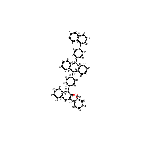 c1ccc2c(-c3ccc(-c4c5ccccc5c(-c5ccc(-c6c7ccccc7cc7c6oc6ccccc67)cc5)c5ccccc45)cc3)cccc2c1